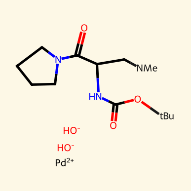 CNCC(NC(=O)OC(C)(C)C)C(=O)N1CCCC1.[OH-].[OH-].[Pd+2]